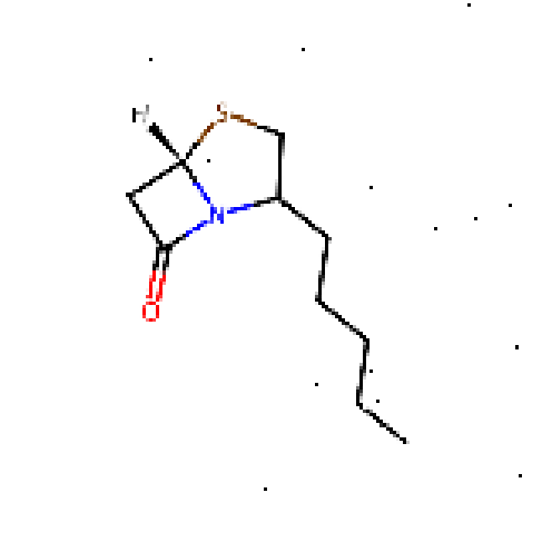 CCCCCC1CS[C@H]2CC(=O)N12